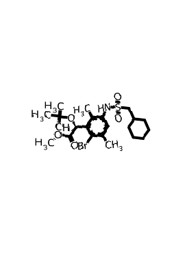 COC(=O)[C@@H](OC(C)(C)C)c1c(C)c(NS(=O)(=O)CC2CCCCC2)cc(C)c1Br